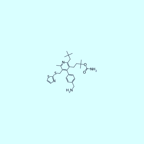 Cc1nc(CC(C)(C)C)c(CCC(C)(C)OC(N)=O)c(-c2ccc(CN)cc2)c1CSc1nccs1